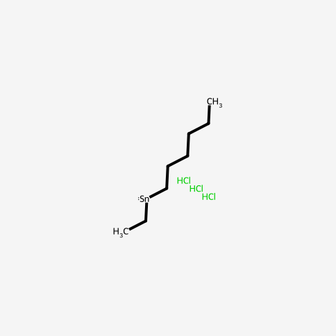 CCCCC[CH2][Sn][CH2]C.Cl.Cl.Cl